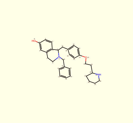 Oc1ccc2c(c1)CCN(Cc1ccccc1)C2Cc1ccc(OCCC2CCCCN2)cc1